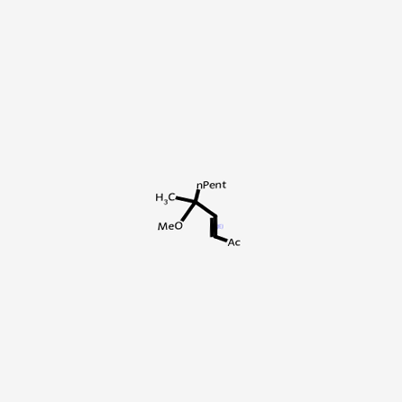 CCCCCC(C)(/C=C/C(C)=O)OC